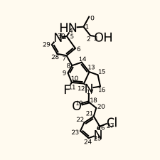 CC(CO)Nc1cc(-c2cc(F)c3c(c2)CCN3C(=O)Cc2cccnc2Cl)ccn1